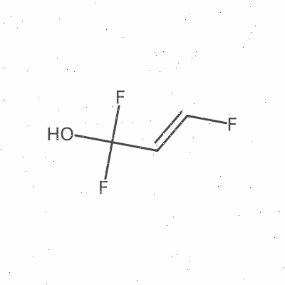 OC(F)(F)C=CF